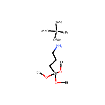 CCC[Si](OC)(OC)OC.CCO[Si](CCCN)(OCC)OCC